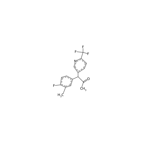 CC(=O)C(c1ccc(C(F)(F)F)nc1)c1ccc(F)c(C)c1